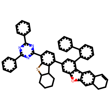 C1=Cc2cc3c(cc2CC1)oc1cc(-c2ccc(-c4nc(-c5ccccc5)nc(-c5ccccc5)n4)c4c2C2CCCCC2S4)cc(-c2ccccc2-c2ccccc2)c13